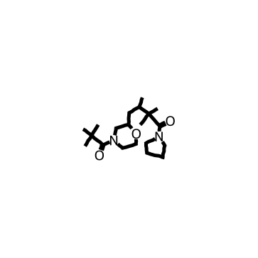 CC(CC1CN(C(=O)C(C)(C)C)CCO1)C(C)(C)C(=O)N1CCCC1